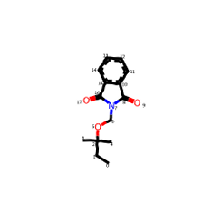 CCC(C)(C)OCN1C(=O)c2ccccc2C1=O